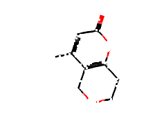 Cc1cc(=O)oc2c1COCC2